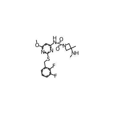 CNC1(C)CN(S(=O)(=O)Nc2cc(OC)nc(SCc3cccc(F)c3F)n2)C1